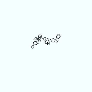 COc1cc(C)c(S(=O)(=O)N2CCC[C@H]2COc2ccnc(N3CCC(c4ccccc4)(N(C)C)CC3)n2)c(C)c1